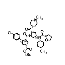 CN1CCN(C(=O)[C@@H]2C[C@H](N(C(=O)[C@@H]3CCCO3)[C@H]3CC[C@@H](C)CC3)CN2C(=O)[C@@H]2CN(C(=O)OC(C)(C)C)C[C@H]2c2ccc(Cl)cc2)CC1